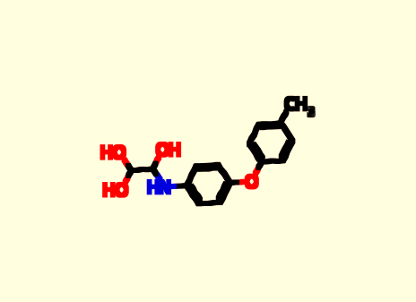 Cc1ccc(Oc2ccc(NC(O)C(O)O)cc2)cc1